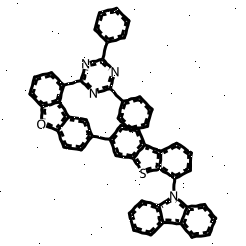 c1ccc(-c2nc(-c3ccccc3)nc(-c3cccc4oc5ccc(-c6ccc7c(c6)sc6c(-n8c9ccccc9c9ccccc98)cccc67)cc5c34)n2)cc1